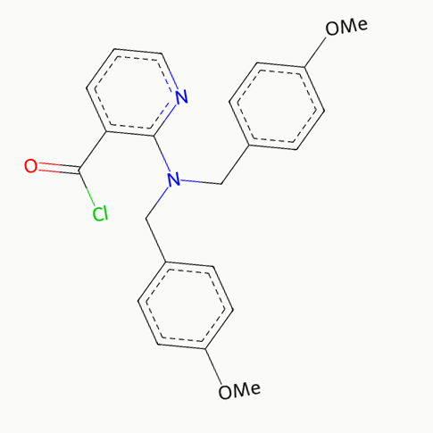 COc1ccc(CN(Cc2ccc(OC)cc2)c2ncccc2C(=O)Cl)cc1